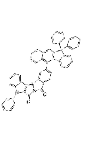 O=c1c2ccc(-c3c4c(cc5ccccc35)C(c3ccccc3)(c3ccccc3)c3ccccc3-4)cc2n2c3c4ccccc4n(-c4ccccc4)c3c(=O)n12